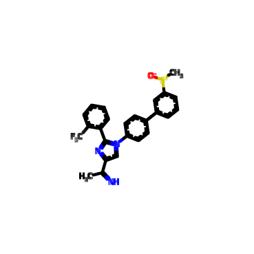 CC(=N)c1cn(-c2ccc(-c3cccc([S+](C)[O-])c3)cc2)c(-c2ccccc2C(F)(F)F)n1